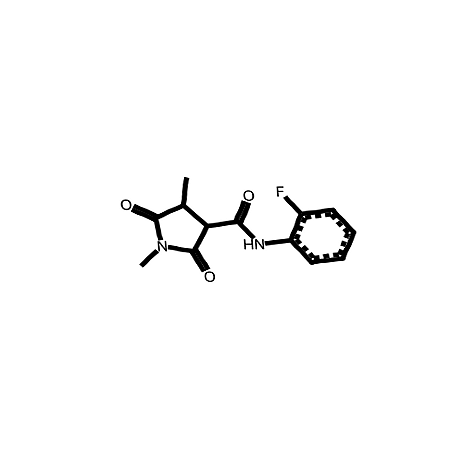 CC1C(=O)N(C)C(=O)C1C(=O)Nc1ccccc1F